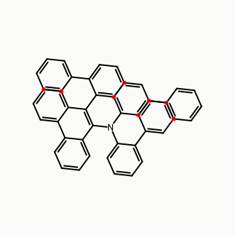 c1ccc(-c2cccc(N(c3ccccc3-c3ccccc3)c3c(-c4ccccc4-c4ccccc4)c4ccccc4c4ccccc34)c2)cc1